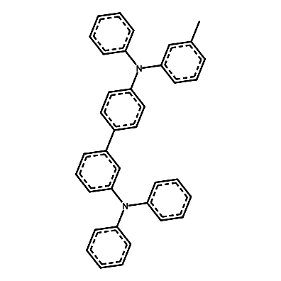 Cc1cccc(N(c2ccccc2)c2ccc(-c3cccc(N(c4ccccc4)c4ccccc4)c3)cc2)c1